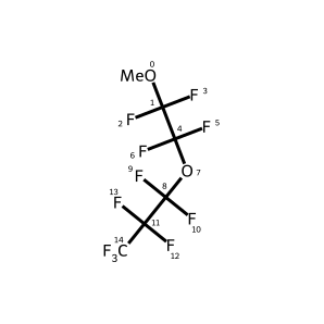 COC(F)(F)C(F)(F)OC(F)(F)C(F)(F)C(F)(F)F